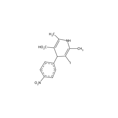 CC1=C(I)C(c2ccc([N+](=O)[O-])cc2)C(C(=O)O)=C(C)N1